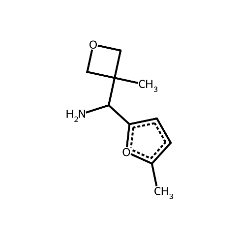 Cc1ccc(C(N)C2(C)COC2)o1